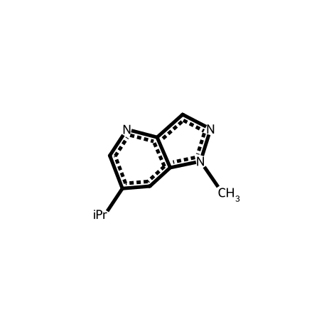 CC(C)c1cnc2cnn(C)c2c1